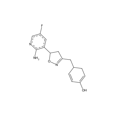 Nc1ncc(F)cc1C1CC(CC2C=CC(O)=CC2)=NO1